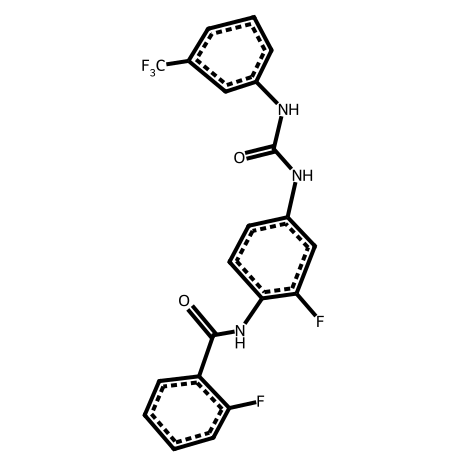 O=C(Nc1cccc(C(F)(F)F)c1)Nc1ccc(NC(=O)c2ccccc2F)c(F)c1